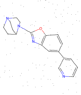 c1cncc(-c2ccc3oc(N4CCN5CCC4CC5)nc3c2)c1